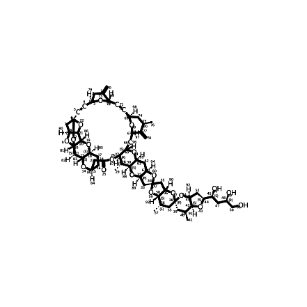 C=C1C[C@@H]2CC[C@@]34C[C@@H]5O[C@H]6[C@@H](O3)[C@H]3O[C@H](CC[C@@H]3O[C@H]6C5O4)CC(=O)O[C@@H]3[C@@H](C)[C@@H]4O[C@@H]5C[C@]6(C[C@@H]7O[C@]8(C[C@H](C)[C@@H]9O[C@H]([C@@H](O)C[C@@H](O)CO)C[C@@H]9O8)C[C@H](C)[C@@H]7O6)O[C@@H]5C[C@@H]4O[C@H]3C[C@H]3O[C@@H](CC[C@@H]1O2)C[C@@H](C)C3=C